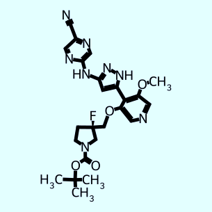 COc1cncc(OC[C@@]2(F)CCN(C(=O)OC(C)(C)C)C2)c1-c1cc(Nc2cnc(C#N)cn2)n[nH]1